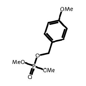 COc1ccc(COP(=O)(OC)OC)cc1